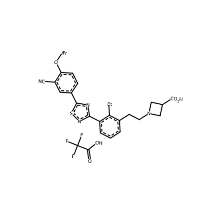 CCc1c(CCN2CC(C(=O)O)C2)cccc1-c1nsc(-c2ccc(OC(C)C)c(C#N)c2)n1.O=C(O)C(F)(F)F